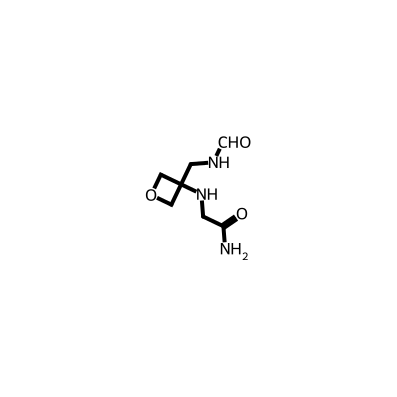 NC(=O)CNC1(CNC=O)COC1